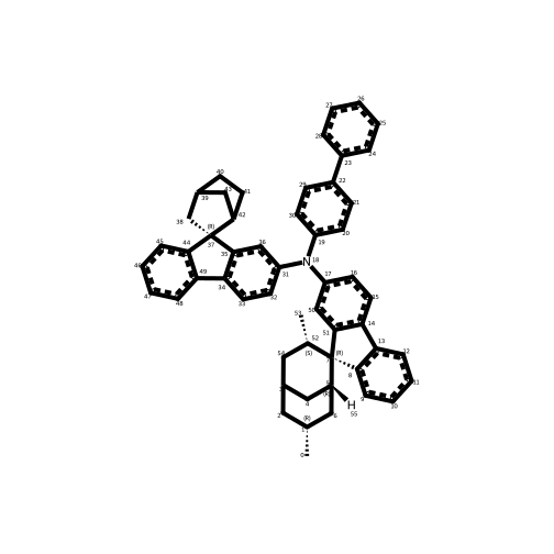 C[C@@H]1CC2C[C@@H](C1)[C@@]1(c3ccccc3-c3ccc(N(c4ccc(-c5ccccc5)cc4)c4ccc5c(c4)[C@@]4(CC6CCC4C6)c4ccccc4-5)cc31)[C@@H](C)C2